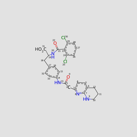 O=C(Cc1ccc2c(n1)NCCC2)Nc1ccc(CC(NC(=O)c2c(Cl)cccc2Cl)C(=O)O)cc1